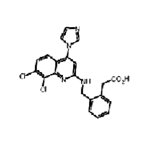 O=C(O)Cc1ccccc1CNc1cc(-n2ccnc2)c2ccc(Cl)c(Cl)c2n1